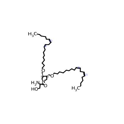 CCCCC/C=C\C/C=C\CCCCCCCCOC[C@@H]1CN(C(=O)[C@@H](N)CO)C[C@H]1COCCCCCCCC/C=C\C/C=C\CCCCC